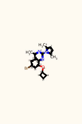 Cc1nc(-n2c(C)ccc2C)nc2c(OC3CCC3)cc(Br)cc12